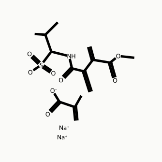 C=C(C(=C)C(=O)OC)C(=O)NC(C(C)C)S(=O)(=O)[O-].C=C(C)C(=O)[O-].[Na+].[Na+]